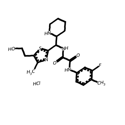 Cc1ccc(NC(=O)C(=O)NC(c2nc(C)c(CCO)s2)C2CCCCN2)cc1F.Cl